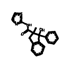 CC1(C(=O)Nc2nccs2)Cc2ccccc2C1(O)c1ccccc1